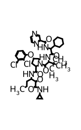 CCCC(NC(=O)C1CC(Oc2cccc(Cl)c2Cl)CN1C(=O)C(NC(=O)C(NC(=O)c1cnccn1)C1CCCCC1)C(C)(C)C)C(=O)C(=O)NC1CC1